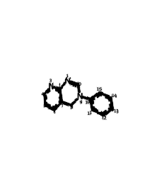 [C]1=Nc2ncccc2CN1c1ccccc1